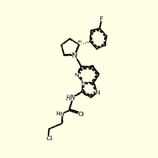 O=C(NCCCl)Nc1cnc2ccc(N3CCC[C@@H]3c3cccc(F)c3)nn12